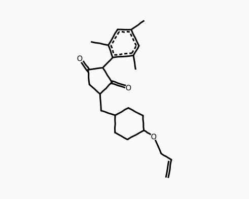 C=CCOC1CCC(CC2CC(=O)C(c3c(C)cc(C)cc3C)C2=O)CC1